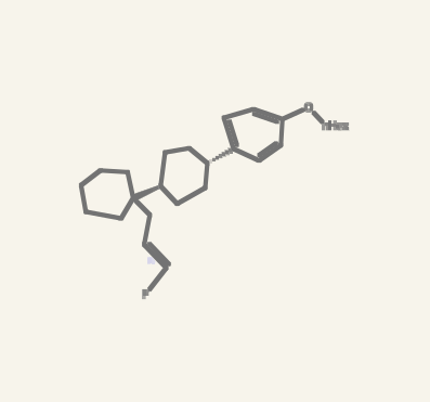 CCCCCCOc1ccc([C@H]2CC[C@H](C3(C/C=C/F)CCCCC3)CC2)cc1